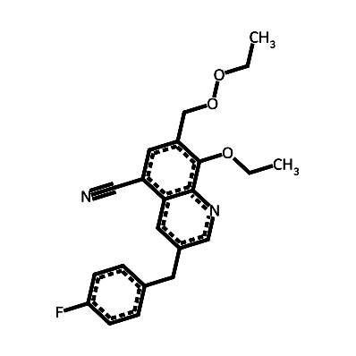 CCOOCc1cc(C#N)c2cc(Cc3ccc(F)cc3)cnc2c1OCC